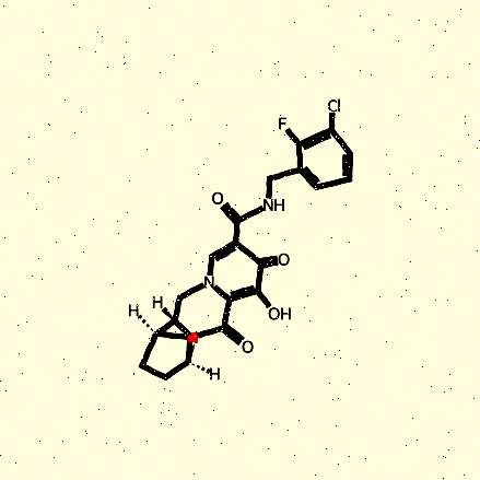 O=C(NCc1cccc(Cl)c1F)c1cn2c(c(O)c1=O)C(=O)N1[C@H]3CC[C@H](C3)[C@@H]1C2